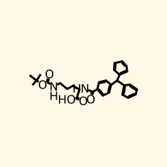 CC(C)(C)OC(=O)NCCCC(NC(=O)c1ccc(C(c2ccccc2)c2ccccc2)cc1)C(=O)O